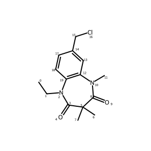 CCN1C(=O)C(C)(C)C(=O)N(C)c2cc(CCl)ccc21